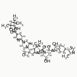 Cc1ncsc1-c1ccc([C@H](C)NC(=O)[C@@H]2C[C@@H](O)CN2C(=O)[C@H]2NC(CC3(CN4CCN(c5ccc(C(=O)NC6C(C)(C)CC6(C)C)cn5)CC4)COC3)=CC2(C)C)cc1